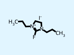 CCCN1CC[N+](CCC)=C1F.[I-]